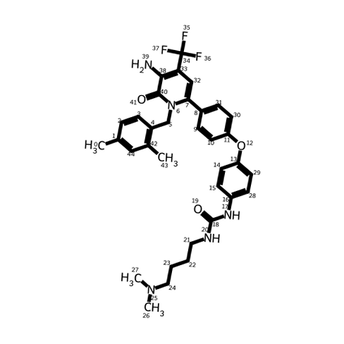 Cc1ccc(Cn2c(-c3ccc(Oc4ccc(NC(=O)NCCCCN(C)C)cc4)cc3)cc(C(F)(F)F)c(N)c2=O)c(C)c1